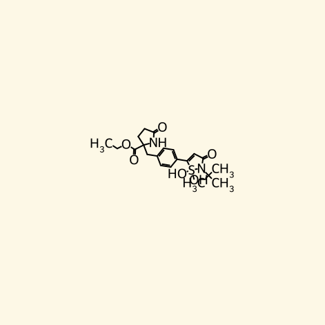 CCOC(=O)C1(Cc2ccc(C3=CC(=O)N(C(C)(C)C)S3(O)O)cc2)CCC(=O)N1